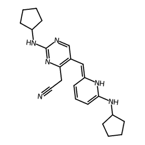 N#CCc1nc(NC2CCCC2)ncc1C=C1C=CC=C(NC2CCCC2)N1